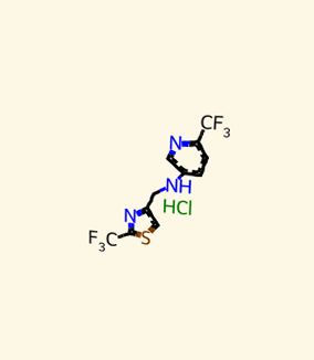 Cl.FC(F)(F)c1ccc(NCc2csc(C(F)(F)F)n2)cn1